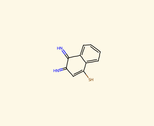 N=C1C=C(S)c2ccccc2C1=N